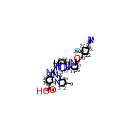 Cc1ccnc(Cn2c(CN3CCN(c4cccc(OCc5ccc(C#N)cc5F)n4)[C@H]4CC[C@H]43)nc3ccc(C(=O)O)cc32)c1